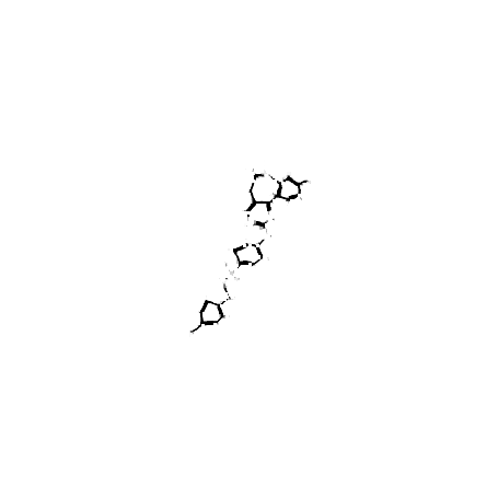 O=C1Cc2cnc(Nc3ccc(S(=O)(=O)NCc4ccc(Cl)cc4)cc3)nc2-c2ccc(Cl)cc2N1